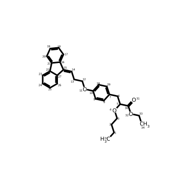 CCCCOC(Cc1ccc(OCCC=C2c3ccccc3-c3ccccc32)cc1)C(=O)OCC